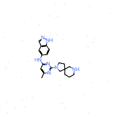 Cc1cc(Nc2ccc3[nH]ncc3c2)nc(N2CCC3(CCCNC3)C2)n1